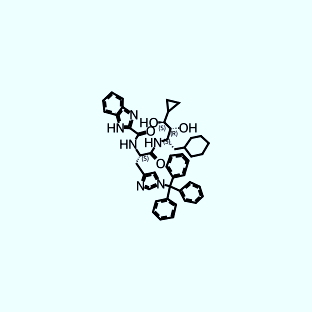 O=C(N[C@@H](Cc1cn(C(c2ccccc2)(c2ccccc2)c2ccccc2)cn1)C(=O)N[C@@H](CC1CCCCC1)[C@@H](O)[C@@H](O)C1CC1)c1nc2ccccc2[nH]1